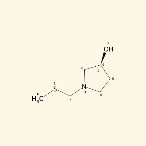 CSCN1CC[C@H](O)C1